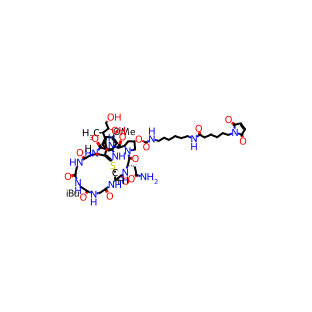 CC[C@H](C)[C@@H]1NC(=O)CNC(=O)[C@@H]2Cc3c([nH]c4cc(OC)ccc34)SC[C@H](NC(=O)CNC1=O)C(=O)N[C@@H](CC(N)=O)C(=O)N1C[C@H](OC(=O)NCCCCCCNC(=O)CCCCCN3C(=O)C=CC3=O)CC1C(=O)N[C@@H]([C@@H](C)[C@@H](O)CO)C(=O)N2